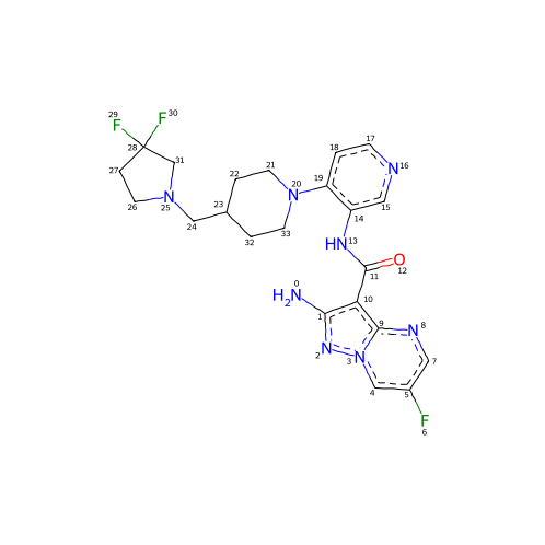 Nc1nn2cc(F)cnc2c1C(=O)Nc1cnccc1N1CCC(CN2CCC(F)(F)C2)CC1